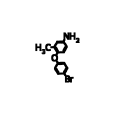 Cc1cc(N)ccc1Oc1ccc(Br)cc1